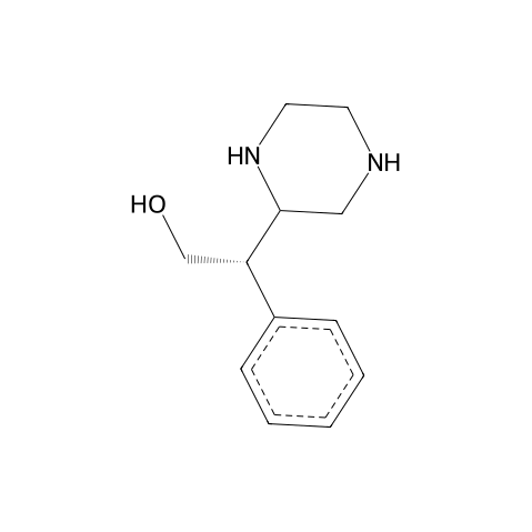 OC[C@@H](c1ccccc1)C1CNCCN1